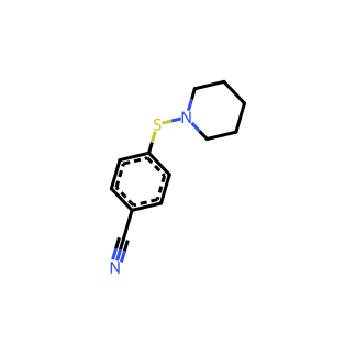 N#Cc1ccc(SN2CCCCC2)cc1